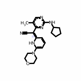 Cc1cnc(NC2CCCC2)nc1/C(C#N)=C1\C=CC=C(N2CCOCC2)N1